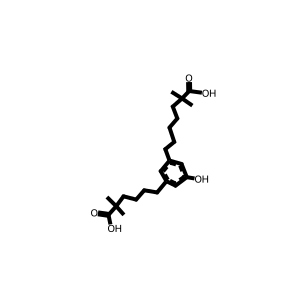 CC(C)(CCCCCc1cc(O)cc(CCCCC(C)(C)C(=O)O)c1)C(=O)O